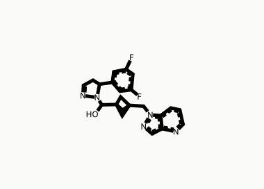 OC(N1N=CCC1c1cc(F)cc(F)c1)C12CC(Cn3ncc4ncccc43)(C1)C2